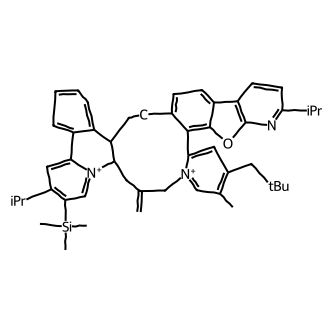 C=C1CC2C(CCc3ccc4c(oc5nc(C(C)C)ccc54)c3-c3cc(CC(C)(C)C)c(C)c[n+]3C1)c1ccccc1-c1cc(C(C)C)c([Si](C)(C)C)c[n+]12